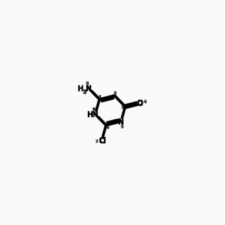 Nc1cc(=O)nc(Cl)[nH]1